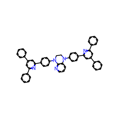 c1ccc(-c2cc(-c3ccccc3)nc(-c3ccc(N4CCN(c5ccc(-c6cc(-c7ccccc7)cc(-c7ccccc7)n6)cc5)c5ncccc54)cc3)c2)cc1